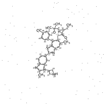 CCOC(=O)[C@@H](OC(C)(C)C)c1c(C)cc2nc(-c3ccc4nc(C)n(C5CNC5)c4c3)sc2c1-c1ccc(Cl)cc1